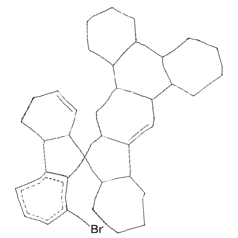 Brc1cccc2c1C1(C3CC4C(C=C3C3CCCCC31)C1CCCCC1C1CCCCC41)C1C=CCCC21